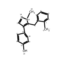 [CH2]c1ccccc1Cc1c(-c2ccc(O)cc2)cnn1C